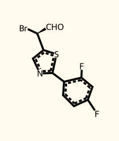 O=C[C@H](Br)c1cnc(-c2ccc(F)cc2F)s1